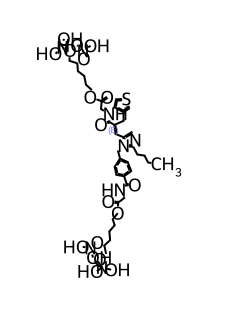 CCCCc1ncc(/C=C(\Cc2ccsc2)C(=O)NCC(=O)OCCCCC(CON(O)O)ON(O)O)n1Cc1ccc(C(=O)NCC(=O)OCCCCC(CON(O)O)ON(O)O)cc1